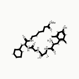 COC(=O)CCCCCNC(=O)[C@H](CC1CCCCC1)NC(=O)CNC(=O)[C@@H](C)NC(=O)[C@@H](N)Cc1c(C)cc(O)cc1C